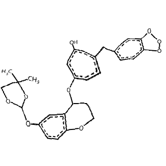 CC1(C)COC(Oc2ccc3c(c2)C(Oc2ccc(Cc4ccc5c(c4)OOO5)c(O)c2)CCO3)O1